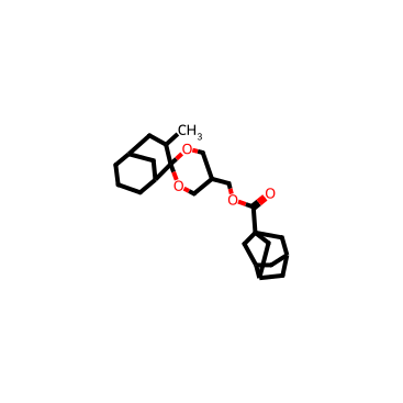 CC1CC2CCCC(C2)C12OCC(COC(=O)C13CC4CC(C1)C(C4)C3)CO2